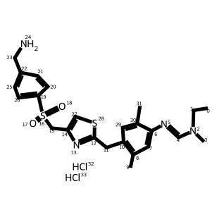 CCN(C)C=Nc1cc(C)c(Cc2nc(CS(=O)(=O)c3ccc(CN)cc3)cs2)cc1C.Cl.Cl